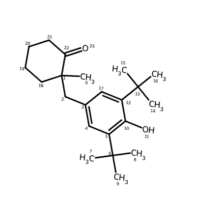 CC1(Cc2cc(C(C)(C)C)c(O)c(C(C)(C)C)c2)CCCCC1=O